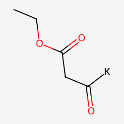 CCOC(=O)C[C](=O)[K]